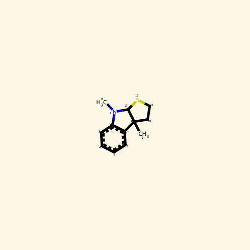 CN1c2cc[c]cc2C2(C)CCSC12